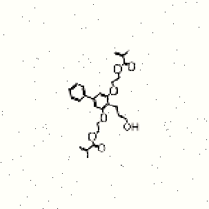 C=C(C)C(=O)OCCOc1cc(-c2ccccc2)cc(OCCOC(=O)C(=C)C)c1CCCO